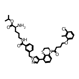 Cc1c(Cl)cccc1OCCCC(=O)N1CCSc2c(-c3cnn(Cc4cccc(C(=O)NCCC[C@H](N)C(=O)OC(C)C)c4)c3)cccc21